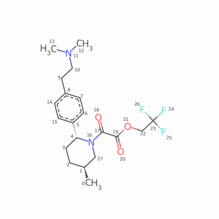 C[C@H]1CC[C@H](c2ccc(CCN(C)C)cc2)N(C(=O)C(=O)OCC(F)(F)F)C1